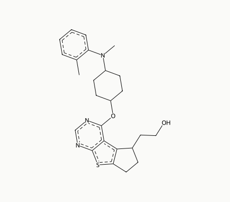 Cc1ccccc1N(C)C1CCC(Oc2ncnc3sc4c(c23)C(CCO)CC4)CC1